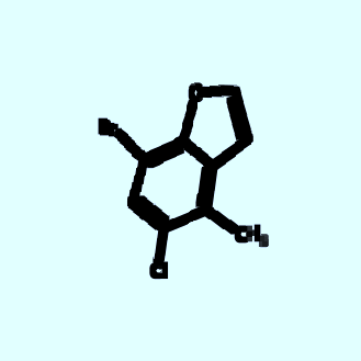 Cc1c(Cl)cc(Br)c2occc12